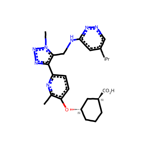 Cc1nc(-c2nnn(C)c2CNc2cc(C(C)C)cnn2)ccc1O[C@H]1CCC[C@H](C(=O)O)C1